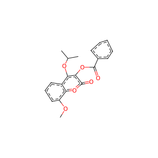 COc1cccc2c(OC(C)C)c(OC(=O)c3ccccc3)c(=O)oc12